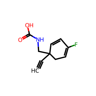 C#CC1(CNC(=O)O)C=CC(F)=CC1